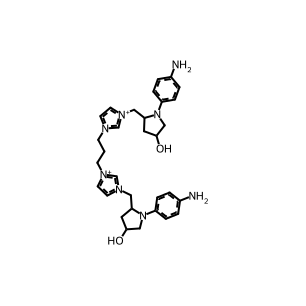 Nc1ccc(N2CC(O)CC2Cn2cc[n+](CCCn3cc[n+](CC4CC(O)CN4c4ccc(N)cc4)c3)c2)cc1